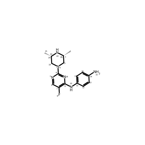 C[C@@H]1CN(c2ncc(F)c(Nc3ccc(N)cc3)n2)C[C@H](C)N1